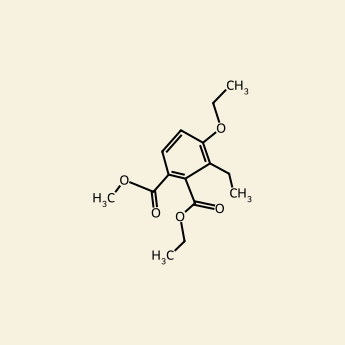 CCOC(=O)c1c(C(=O)OC)ccc(OCC)c1CC